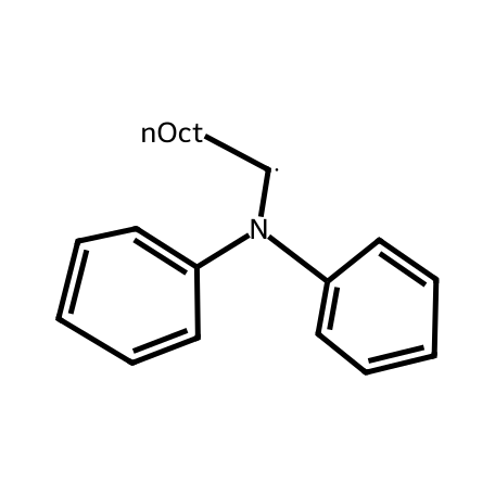 CCCCCCCC[CH]N(c1ccccc1)c1ccccc1